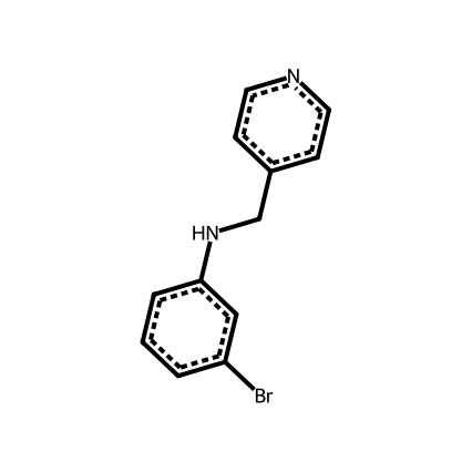 Brc1cccc(NCc2ccncc2)c1